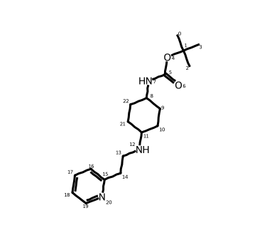 CC(C)(C)OC(=O)NC1CCC(NCCc2ccccn2)CC1